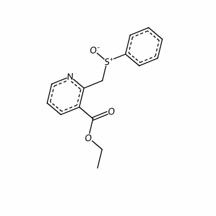 CCOC(=O)c1cccnc1C[S+]([O-])c1ccccc1